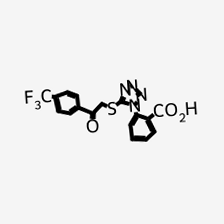 O=C(CSc1nnnn1-c1ccccc1C(=O)O)c1ccc(C(F)(F)F)cc1